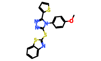 COc1ccc(-n2c(Sc3nc4ccccc4s3)nnc2-c2cccs2)cc1